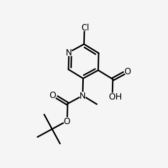 CN(C(=O)OC(C)(C)C)c1cnc(Cl)cc1C(=O)O